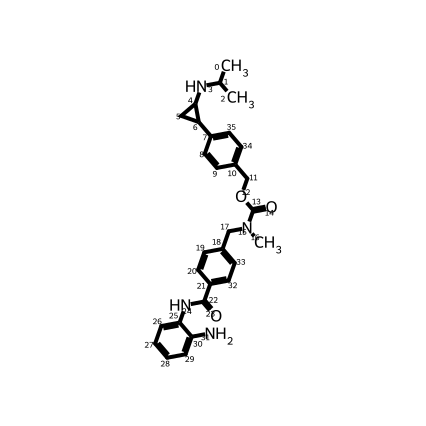 CC(C)NC1CC1c1ccc(COC(=O)N(C)Cc2ccc(C(=O)Nc3ccccc3N)cc2)cc1